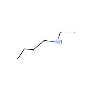 CC[CH]CNCC